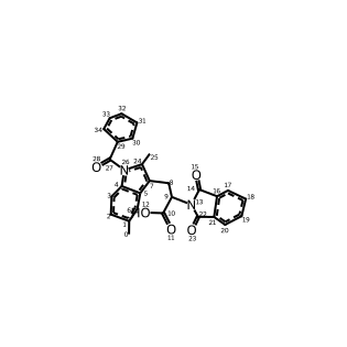 Cc1ccc2c(c1)c(CC(C(=O)O)N1C(=O)c3ccccc3C1=O)c(C)n2C(=O)c1ccccc1